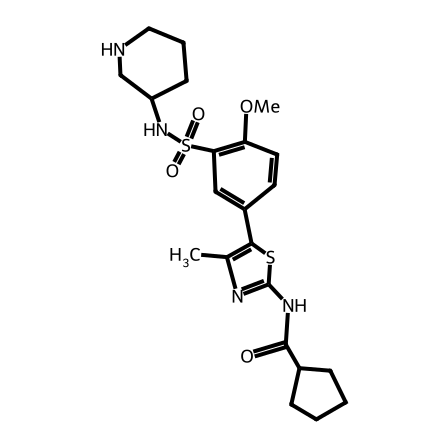 COc1ccc(-c2sc(NC(=O)C3CCCC3)nc2C)cc1S(=O)(=O)NC1CCCNC1